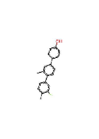 Cc1ccc(-c2ccc(-c3ccc(O)cc3)cc2C)cc1F